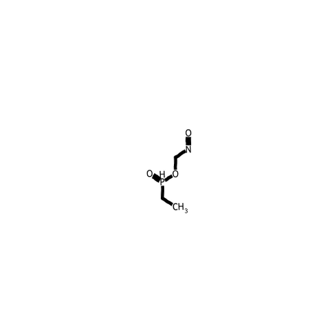 CC[PH](=O)OCN=O